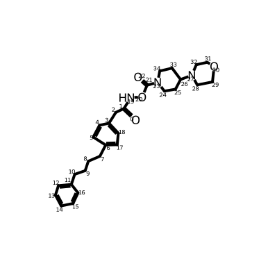 O=C(Cc1ccc(CCCCc2ccccc2)cc1)NOC(=O)N1CCC(N2CCOCC2)CC1